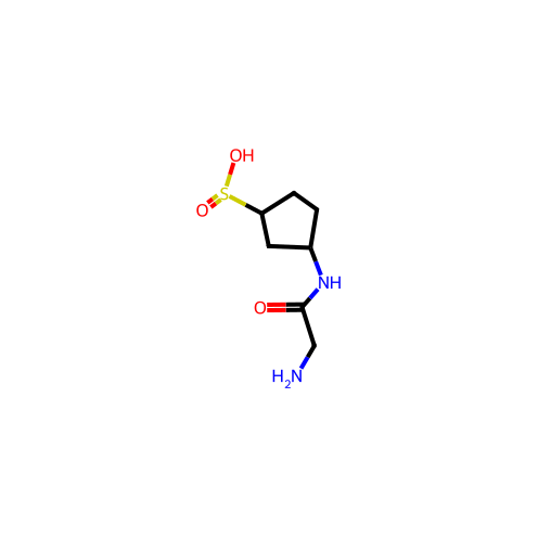 NCC(=O)NC1CCC(S(=O)O)C1